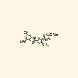 CCSc1cc(Cl)cc(NC(=O)c2cc(-c3ncc(OC)cn3)c(C)s2)c1